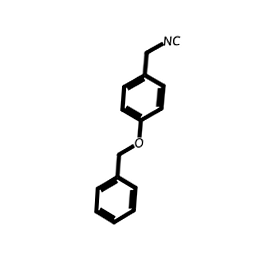 [C-]#[N+]Cc1ccc(OCc2ccccc2)cc1